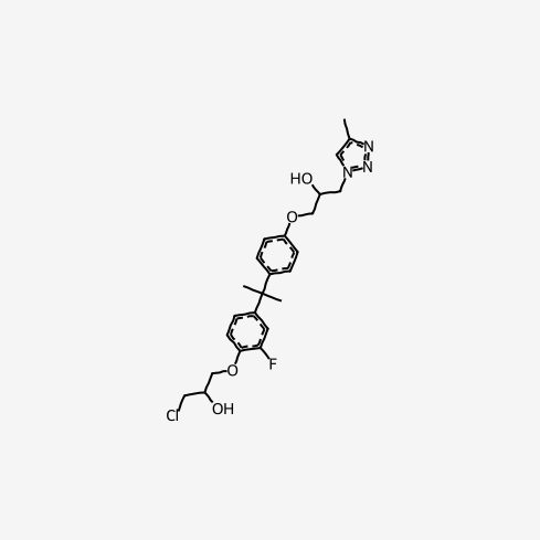 Cc1cn(CC(O)COc2ccc(C(C)(C)c3ccc(OCC(O)CCl)c(F)c3)cc2)nn1